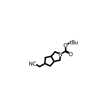 CC(C)(C)OC(=O)N1CC2CC(CC#N)CC2C1